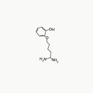 NC(N)CCCCOc1ccccc1O